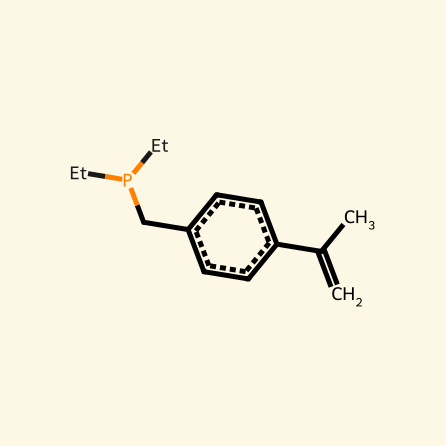 C=C(C)c1ccc(CP(CC)CC)cc1